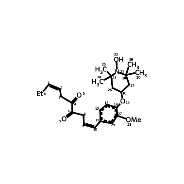 CC/C=C\CC(=O)C(=O)C/C=C\c1ccc(OC2CC(C)(C)N(O)C(C)(C)C2)c(OC)c1